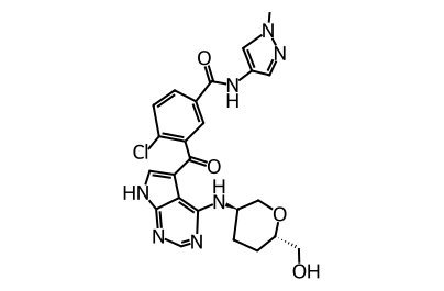 Cn1cc(NC(=O)c2ccc(Cl)c(C(=O)c3c[nH]c4ncnc(N[C@@H]5CC[C@@H](CO)OC5)c34)c2)cn1